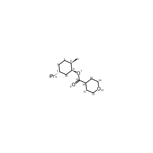 CC(C)[C@@H]1CC[C@@H](C)[C@@H](OC(=O)C2CCOCC2)C1